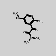 CBc1cnc(N)c(C(=O)C(=O)N(C)C)c1